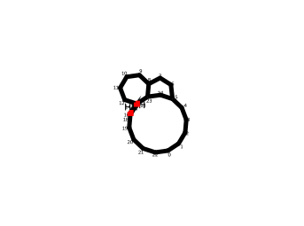 C1CCCCC2CCC3CCCCC4(NNCCC4CCCC1)C3C2